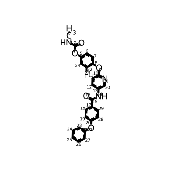 CNC(=O)Oc1ccc(Oc2ccc(NC(=O)c3ccc(Oc4ccccc4)cc3)cn2)c(F)c1